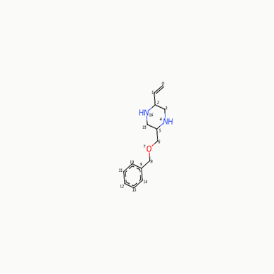 C=CC1CNC(COCc2ccccc2)CN1